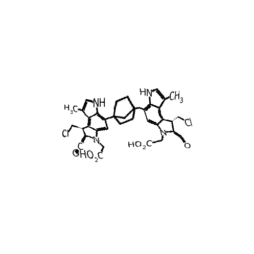 Cc1c[nH]c2c(C34CCC(c5cc6c(c7c(C)c[nH]c57)[C@H](CCl)C(=C=O)N6CC(=O)O)(CC3)C4)cc3c(c12)[C@H](CCl)C(=C=O)N3CC(=O)O